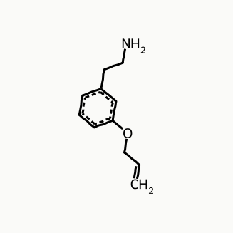 C=CCOc1cccc(CCN)c1